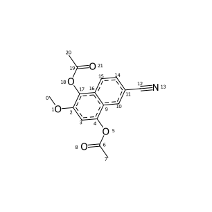 COc1cc(OC(C)=O)c2cc(C#N)ccc2c1OC(C)=O